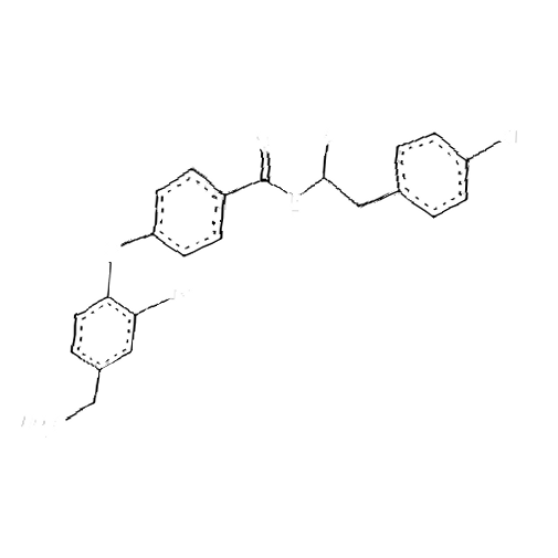 O=C(O)Cc1ccc(Oc2ccc(C(=O)NC(Cl)Cc3ccc(Cl)cc3)cc2)c(Br)c1